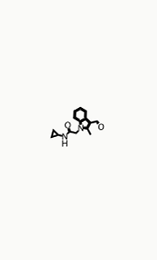 Cc1c(C=O)c2ccccc2n1CC(=O)NC1CC1